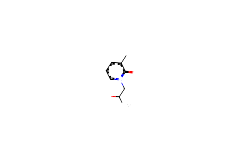 COC(O)Cn1cccc(C)c1=O